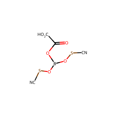 N#CSOB(OSC#N)OC(=O)C(=O)O